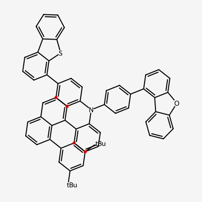 CC(C)(C)c1cc(-c2cccc3cccc(-c4ccccc4N(c4ccc(-c5cccc6c5sc5ccccc56)cc4)c4ccc(-c5cccc6oc7ccccc7c56)cc4)c23)cc(C(C)(C)C)c1